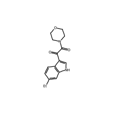 CCc1ccc2c(C(=O)C(=O)N3CCOCC3)c[nH]c2c1